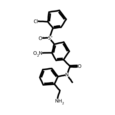 CN(C(=O)c1ccc([S+]([O-])c2ccccc2Cl)c([N+](=O)[O-])c1)c1ccccc1CN